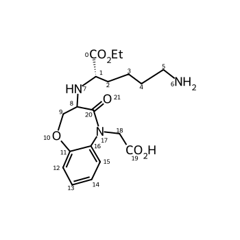 CCOC(=O)[C@H](CCCCN)NC1COc2ccccc2N(CC(=O)O)C1=O